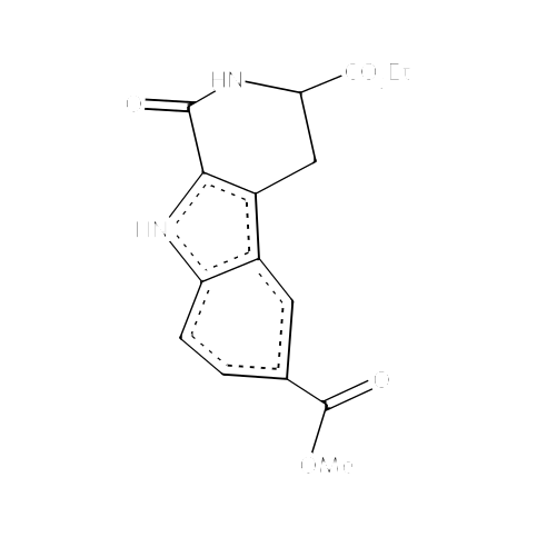 CCOC(=O)C1Cc2c([nH]c3ccc(C(=O)OC)cc23)C(=O)N1